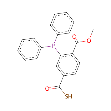 COC(=O)c1ccc(C(=O)S)cc1P(c1ccccc1)c1ccccc1